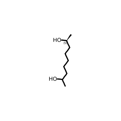 CC(O)CCCCC[C@H](C)O